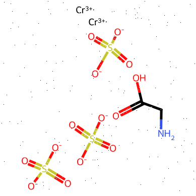 NCC(=O)O.O=S(=O)([O-])[O-].O=S(=O)([O-])[O-].O=S(=O)([O-])[O-].[Cr+3].[Cr+3]